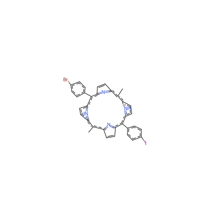 Cc1c2nc(c(-c3ccc(I)cc3)c3ccc([nH]3)c(C)c3nc(c(-c4ccc(Br)cc4)c4ccc1[nH]4)C=C3)C=C2